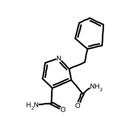 NC(=O)c1ccnc(Cc2ccccc2)c1C(N)=O